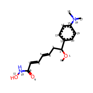 COC(CC=CC=CC(=O)NO)c1ccc(N(C)C)cc1